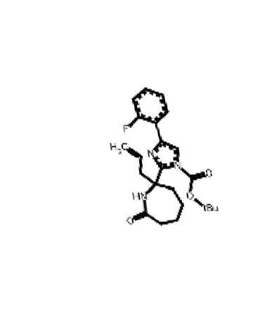 C=CCC1(c2nc(-c3ccccc3F)cn2C(=O)OC(C)(C)C)CCCCC(=O)N1